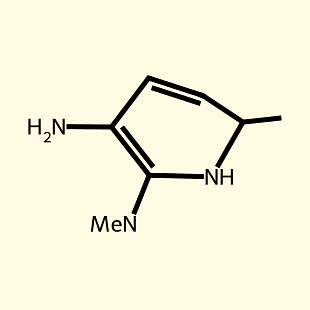 CNC1=C(N)C=CC(C)N1